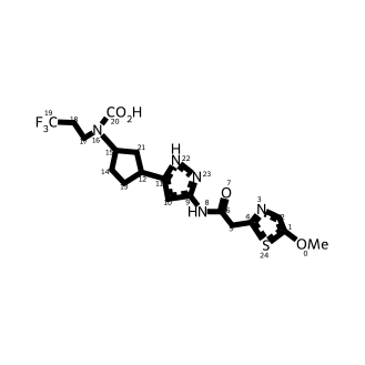 COc1cnc(CC(=O)Nc2cc(C3CCC(N(CCC(F)(F)F)C(=O)O)C3)[nH]n2)s1